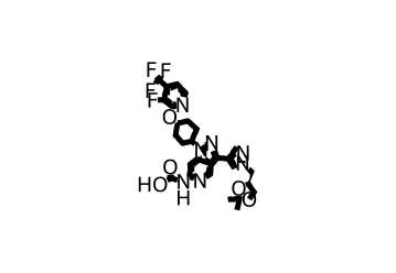 CC1(C)OC[C@H](Cn2cc(-c3nn(C4CCC(Oc5nccc(C(F)(F)F)c5F)CC4)c4cc(NC(=O)O)ncc34)cn2)O1